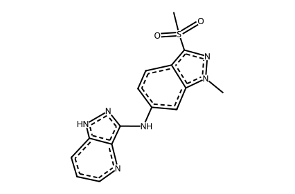 Cn1nc(S(C)(=O)=O)c2ccc(Nc3n[nH]c4cccnc34)cc21